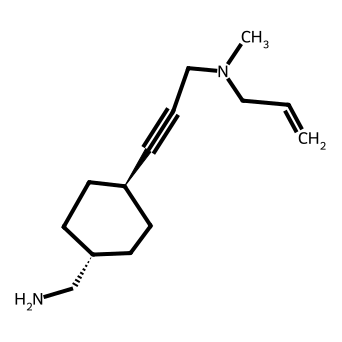 C=CCN(C)CC#C[C@H]1CC[C@H](CN)CC1